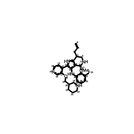 C=CCC1CNC(=O)c2c1[nH]c(-c1ccncc1OCC1CCCNC1)c2Nc1cccc(F)c1OC